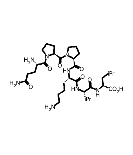 CC(C)C[C@H](NC(=O)[C@@H](NC(=O)[C@H](CCCCN)NC(=O)[C@@H]1CCCN1C(=O)[C@@H]1CCCN1C(=O)[C@@H](N)CCC(N)=O)C(C)C)C(=O)O